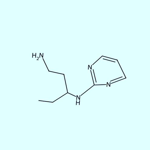 CCC(CCN)Nc1ncccn1